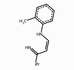 Cc1ccccc1N/C=C\C(=N)C(C)C